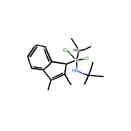 CC1=C(C)[CH]([Ti]([Cl])([Cl])([NH]C(C)(C)C)[SiH](C)C)c2ccccc21